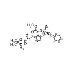 COC(=O)C1c2c(cnn2CCNC(=O)OC(C)(C)C)C2CN1C(=O)N2OCc1ccccc1